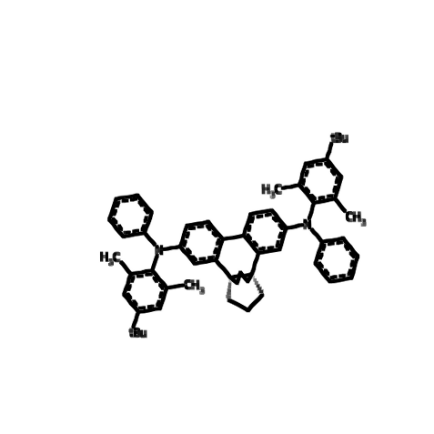 Cc1cc(C(C)(C)C)cc(C)c1N(c1ccccc1)c1ccc2c(c1)[C@]13CCC[C@]1(CCC3)c1cc(N(c3ccccc3)c3c(C)cc(C(C)(C)C)cc3C)ccc1-2